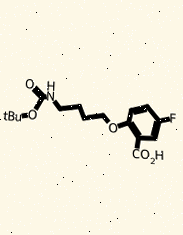 CC(C)(C)OC(=O)NCCCCOc1ccc(F)cc1C(=O)O